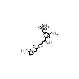 C/C(=C\C=C\NC(=O)Cn1ccc(C)n1)c1nc(N)cc(CS(C)(=O)=O)n1